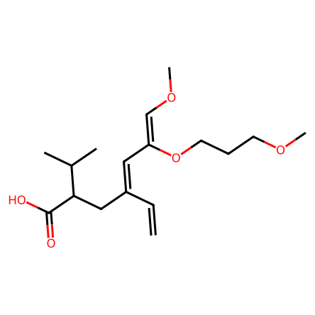 C=C/C(=C\C(=C\OC)OCCCOC)CC(C(=O)O)C(C)C